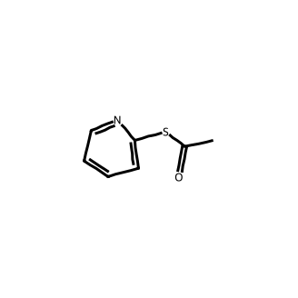 CC(=O)Sc1ccccn1